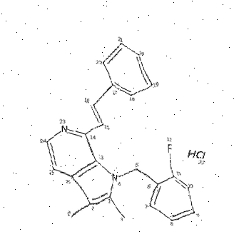 Cc1c(C)n(Cc2ccccc2F)c2c(C=Cc3ccccc3)nccc12.Cl